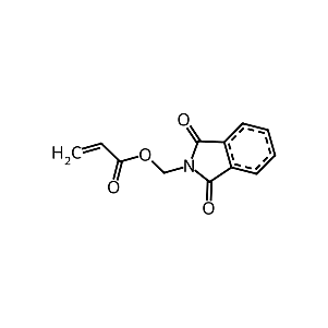 C=CC(=O)OCN1C(=O)c2ccccc2C1=O